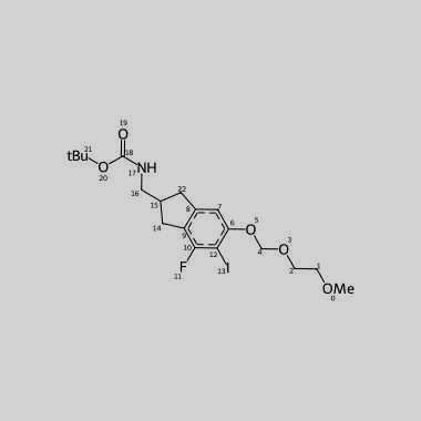 COCCOCOc1cc2c(c(F)c1I)CC(CNC(=O)OC(C)(C)C)C2